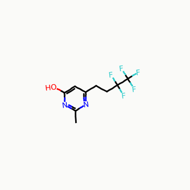 Cc1nc(O)cc(CCC(F)(F)C(F)(F)F)n1